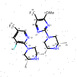 COc1nc(N2C[C@@H](C[C@H]3CN(c4ncc(C(F)(F)F)cc4F)C[C@@H](C)N3)N[C@@H](C)C2)ncc1C(F)(F)F